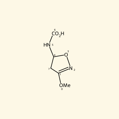 COC1=NOC(NC(=O)O)C1